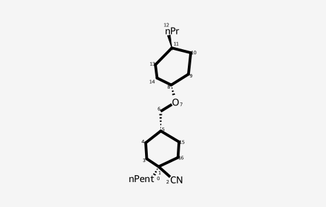 CCCCC[C@]1(C#N)CC[C@H](CO[C@H]2CC[C@H](CCC)CC2)CC1